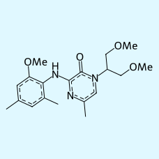 COCC(COC)n1cc(C)nc(Nc2c(C)cc(C)cc2OC)c1=O